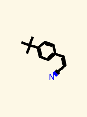 CC(C)(C)c1ccc(/C=C\C#N)cc1